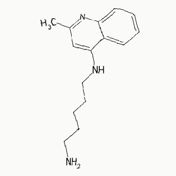 Cc1cc(NCCCCCN)c2ccccc2n1